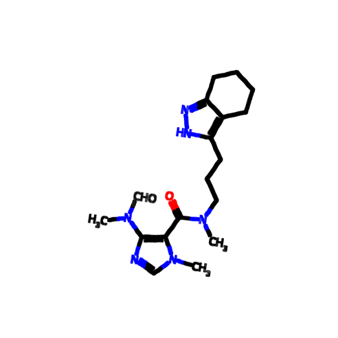 CN(CCCc1[nH]nc2c1CCCC2)C(=O)c1c(N(C)C=O)ncn1C